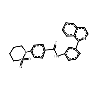 O=C(Nc1cccc(-c2nccc3ccccc23)c1)c1ccc(N2CCCCS2(=O)=O)cc1